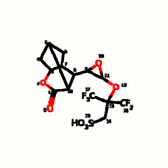 O=C1OC2CC3CC2C(C2OC2OC(CS(=O)(=O)O)(C(F)(F)F)C(F)(F)F)C13